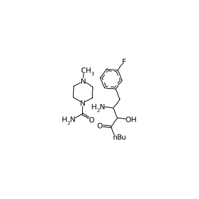 CCCCC(=O)C(O)C(N)Cc1cccc(F)c1.CN1CCN(C(N)=O)CC1